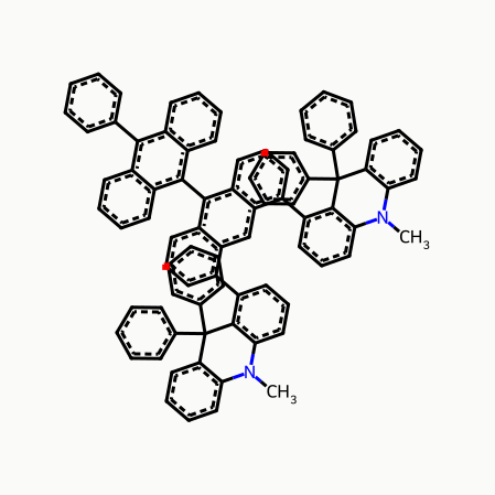 CN1c2ccccc2C(c2ccccc2)(c2ccccc2)c2c(-c3cccc4c(-c5c6ccccc6c(-c6ccccc6)c6ccccc56)c5cccc(-c6cccc7c6C(c6ccccc6)(c6ccccc6)c6ccccc6N7C)c5cc34)cccc21